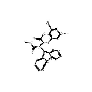 COC(=O)N(C1c2ccccc2-c2ccccc21)[C@@H](Cc1cc(Cl)cc(I)c1)C(=O)O